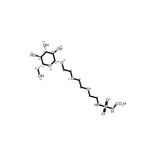 O=C(O)NS(=O)(=O)NCCOCCOCCO[C@@H]1O[C@H](CO)[C@@H](O)[C@H](O)[C@H]1O